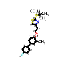 Cc1cc(-c2ccc(F)cc2)ccc1OCCc1csc(SC(C)(C)C(=O)O)n1